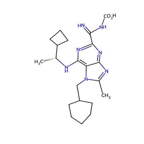 Cc1nc2nc(C(=N)NC(=O)O)nc(N[C@H](C)C3CCC3)c2n1CC1CCCCC1